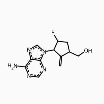 C=C1C(CO)CC(F)C1n1cnc2c(N)ncnc21